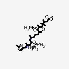 COC(=O)CC(C)C(C)(C)C(=O)C(C)C(OPP)C(C)CCC/C(C)=C\C(OP(P)P)C(N)/C(C)=C/c1csc(C)n1